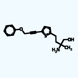 CC(N)(CO)CCc1ccc(C#CCOc2ccccc2)s1